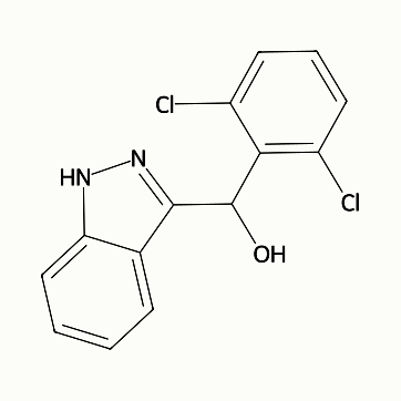 OC(c1c(Cl)cccc1Cl)c1n[nH]c2ccccc12